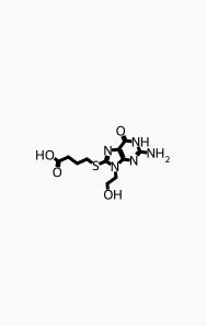 Nc1nc2c(nc(SCCCC(=O)O)n2CCO)c(=O)[nH]1